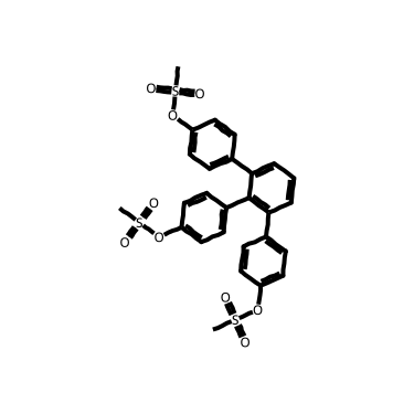 CS(=O)(=O)Oc1ccc(-c2cccc(-c3ccc(OS(C)(=O)=O)cc3)c2-c2ccc(OS(C)(=O)=O)cc2)cc1